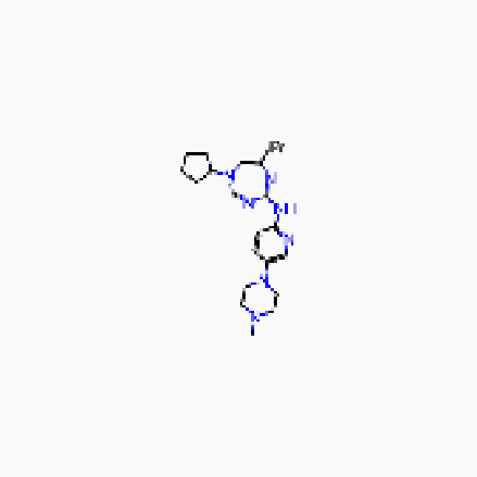 CC(C)C1CN(C2CCCC2)C=NC(Nc2ccc(N3CCN(C)CC3)cn2)=N1